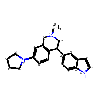 CN1Cc2cc(N3CCCC3)ccc2C(c2ccc3[nH]ccc3c2)C1